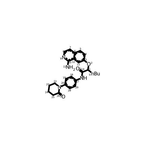 CCCCC(Oc1ccc2ccnc(N)c2c1)C(=O)Nc1ccc(N2CCCCC2=O)cc1